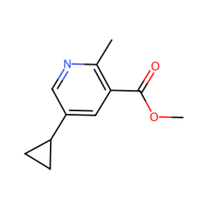 COC(=O)c1cc(C2CC2)cnc1C